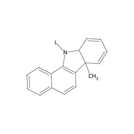 CC12C=CC=CC1N(I)c1c2ccc2ccccc12